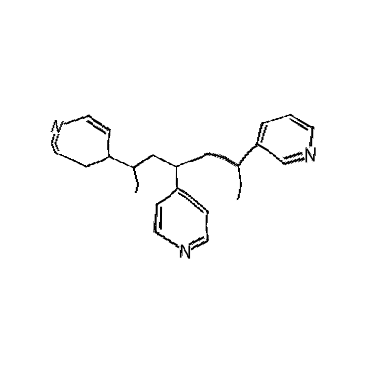 CC(CC(CC(C)C1C=CN=CC1)c1ccncc1)c1cccnc1